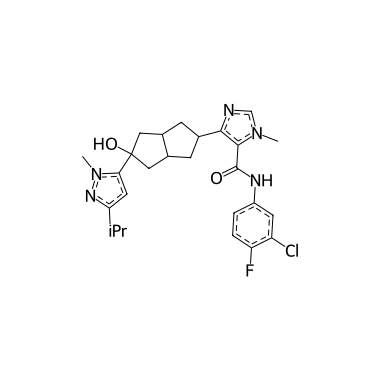 CC(C)c1cc(C2(O)CC3CC(c4ncn(C)c4C(=O)Nc4ccc(F)c(Cl)c4)CC3C2)n(C)n1